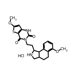 COc1cc2[nH]c(=O)n(CCC3NCC4CCc5c(OC)cccc5C43)c(=O)c2s1.Cl